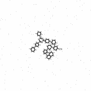 N#Cc1ccc(-c2cccc(-c3cccc4c3-c3cccc5cccc-4c35)c2)c(-c2cccc(-c3ccc(-c4nc(-c5ccccc5)nc(-c5ccc(-c6ccccc6)cc5)n4)cc3)c2)c1